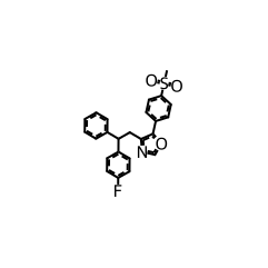 CS(=O)(=O)c1ccc(-c2ocnc2CC(c2ccccc2)c2ccc(F)cc2)cc1